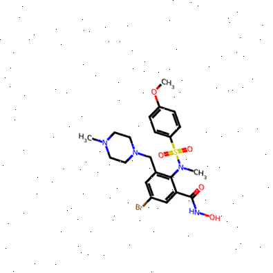 COc1ccc(S(=O)(=O)N(C)c2c(CN3CCN(C)CC3)cc(Br)cc2C(=O)NO)cc1